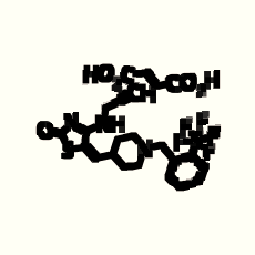 C#CCNC1=NC(=O)SC1=CC1CCN(Cc2ccccc2S(F)(F)(F)(F)F)CC1.O=C(O)C=CC(=O)O